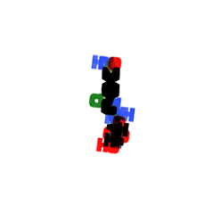 N=S1(=O)CC=C(c2ccc(-c3nc4[nH]c(O[C@@H]5CO[C@H]6[C@@H]5OC[C@H]6O)nc4cc3Cl)cc2)CC1